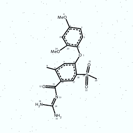 COc1ccc(Oc2cc(C)c(C(=O)N=C(N)N)cc2S(C)(=O)=O)c(OC)c1